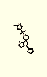 Cn1cc(C(C)(C)N2CCC(CCc3cccs3)(C3CCCO3)C2)cn1